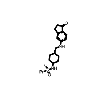 CC(C)S(=O)(=O)NC1CCC(CNc2ccc3c(c2)CCC3=O)CC1